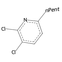 CCCCCc1ccc(Cl)c(Cl)n1